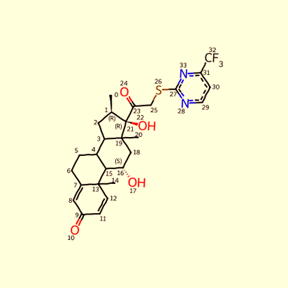 C[C@@H]1CC2C3CCC4=CC(=O)C=CC4(C)C3[C@@H](O)CC2(C)[C@@]1(O)C(=O)CSc1nccc(C(F)(F)F)n1